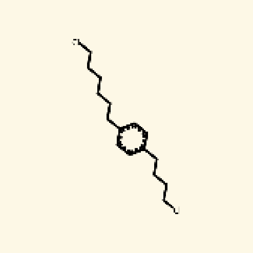 ClCCCCCCc1ccc(CCCCCl)cc1